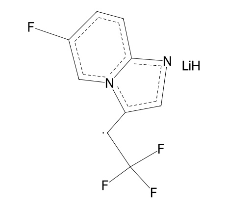 Fc1ccc2ncc([CH]C(F)(F)F)n2c1.[LiH]